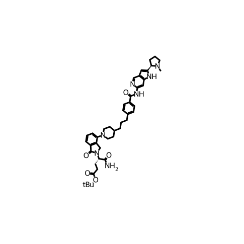 CN1CCC[C@@H]1c1cc2cnc(NC(=O)c3ccc(CCCC4CCN(c5cccc6c5CN([C@@H](CCC(=O)OC(C)(C)C)C(N)=O)C6=O)CC4)cc3)cc2[nH]1